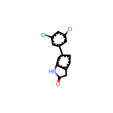 O=C1Cc2ccc(-c3cc(Cl)cc(Cl)c3)cc2N1